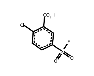 O=C(O)c1cc(S(=O)(=O)F)ccc1Cl